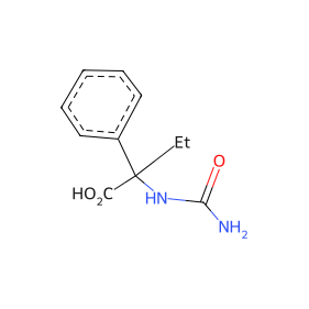 CCC(NC(N)=O)(C(=O)O)c1ccccc1